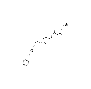 CC(CCCBr)CC(C)CC(C)CC(C)CC(C)CC(C)CCCOCOCc1ccccc1